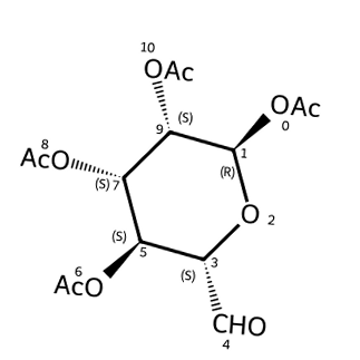 CC(=O)O[C@H]1O[C@H](C=O)[C@@H](OC(C)=O)[C@H](OC(C)=O)[C@@H]1OC(C)=O